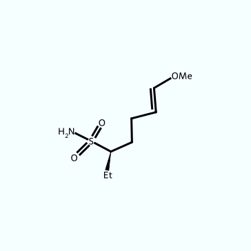 CC[C@H](CCC=COC)S(N)(=O)=O